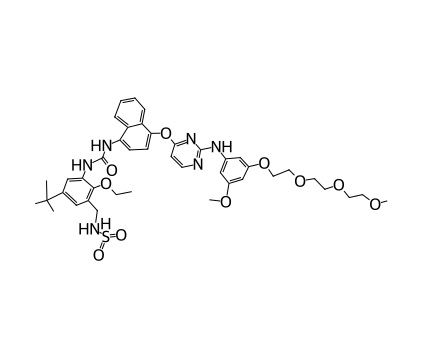 CCOc1c(CN[SH](=O)=O)cc(C(C)(C)C)cc1NC(=O)Nc1ccc(Oc2ccnc(Nc3cc(OC)cc(OCCOCCOCCOC)c3)n2)c2ccccc12